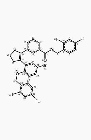 O=C(OCc1ccc(F)cc1F)c1cccc(C2=C(c3cc(Br)cnc3OCc3ccc(F)cc3F)CCC2)c1